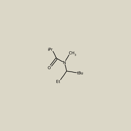 CCC(N(C)C(=O)C(C)C)C(C)(C)C